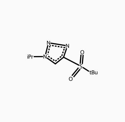 CC(C)n1cc(S(=O)(=O)C(C)(C)C)nn1